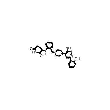 Nc1nnc(-c2ccccc2O)cc1N1CCN(Cc2ccccc2NC2CCC(=O)NC2=O)CC1